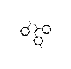 Cc1ccc(C=C(CC(C)c2ccccc2)c2ccccc2)cc1